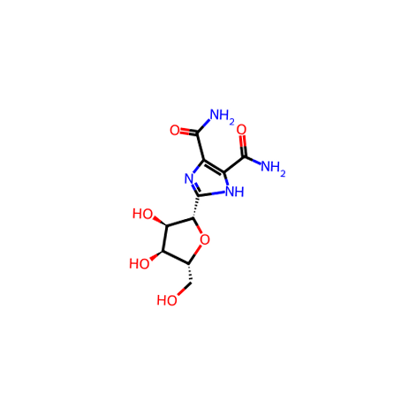 NC(=O)c1nc([C@@H]2O[C@H](CO)[C@@H](O)[C@H]2O)[nH]c1C(N)=O